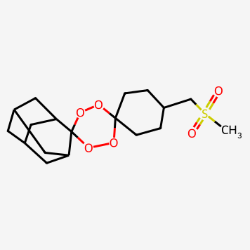 CS(=O)(=O)CC1CCC2(CC1)OOC1(OO2)C2CC3CC(C2)CC1C3